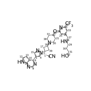 N#CC[C@]1(n2cc(-c3ncnc4[nH]ccc34)cn2)C[C@@H](N2CCC(Oc3cc(CNCCCO)cc(C(F)(F)F)n3)CC2)C1